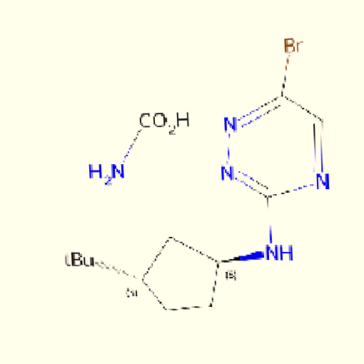 CC(C)(C)[C@H]1CC[C@H](Nc2ncc(Br)nn2)C1.NC(=O)O